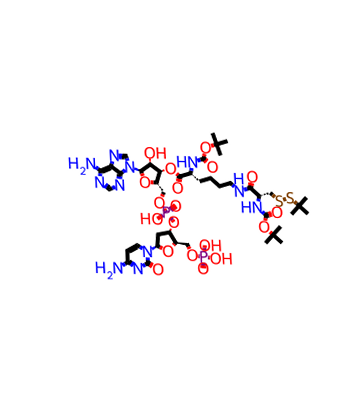 CC(C)(C)OC(=O)N[C@@H](CSSC(C)(C)C)C(=O)NCCCC[C@@H](NC(=O)OC(C)(C)C)C(=O)O[C@H]1[C@@H](O)[C@H](n2cnc3c(N)ncnc32)O[C@H]1COP(=O)(O)O[C@H]1C[C@H](n2ccc(N)nc2=O)O[C@@H]1COP(=O)(O)O